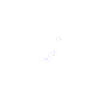 CCOC(=O)c1cnn(-c2nc(OC)c3c(cnn3CCCOc3cc4c(cc3C)CCCC4)n2)c1